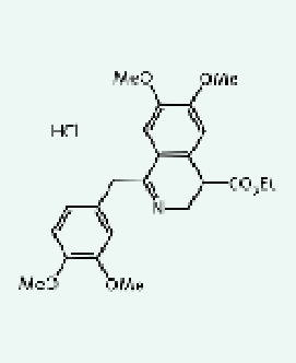 CCOC(=O)C1CN=C(Cc2ccc(OC)c(OC)c2)c2cc(OC)c(OC)cc21.Cl